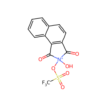 O=C1c2ccc3ccccc3c2C(=O)[N+]1(O)OS(=O)(=O)C(F)(F)F